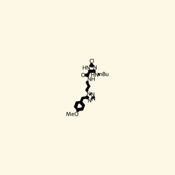 CCCCNc1nc(Cl)[nH]c1C(=O)NCCCn1nnnc1Cc1ccc(OC)cc1